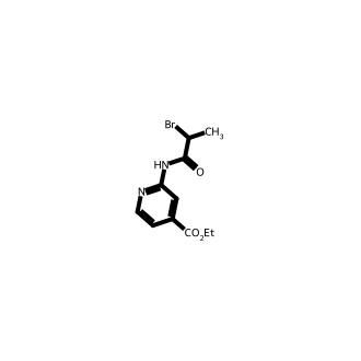 CCOC(=O)c1ccnc(NC(=O)C(C)Br)c1